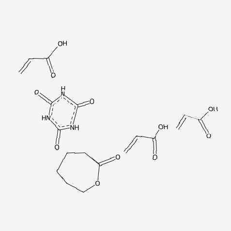 C=CC(=O)O.C=CC(=O)O.C=CC(=O)O.O=C1CCCCCO1.O=c1[nH]c(=O)[nH]c(=O)[nH]1